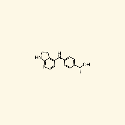 CC(O)c1ccc(Nc2ccnc3[nH]ccc23)cc1